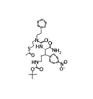 CC(=O)SCCN(CCc1ccccc1)C(=O)N[C@H](C(N)=O)C(CCNC(=O)OC(C)(C)C)c1ccc([N+](=O)[O-])cc1